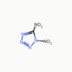 O=[N+]([O-])c1nnnn1[N+](=O)[O-]